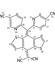 N#CC(C#N)=c1c2ccsc2c(=C(c2ccc(C#N)cn2)c2ccc(C#N)cn2)c2ccsc12